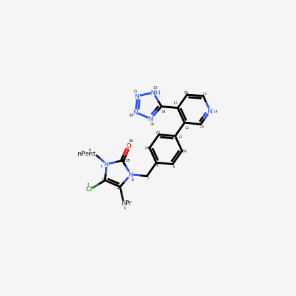 CCCCCn1c(Cl)c(CCC)n(Cc2ccc(-c3cnccc3-c3nnn[nH]3)cc2)c1=O